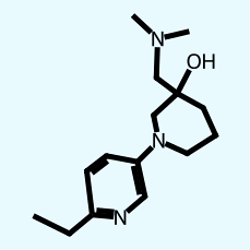 CCc1ccc(N2CCCC(O)(CN(C)C)C2)cn1